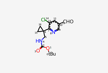 CC(C)(C)OC(=O)NCC1(c2ncc(C=O)cc2Cl)CC1